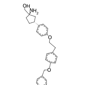 N[C@]1(CO)CC[C@@H](c2ccc(OCCc3ccc(OCc4ccccc4)cc3)cc2)C1